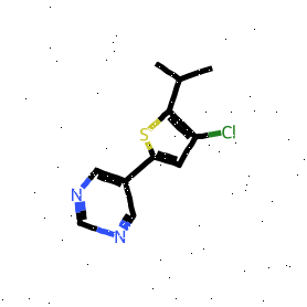 CC(C)c1sc(-c2cncnc2)cc1Cl